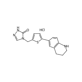 Cl.O=c1[nH]ncn1Cc1ccc(-c2ccc3c(c2)CCCN3)s1